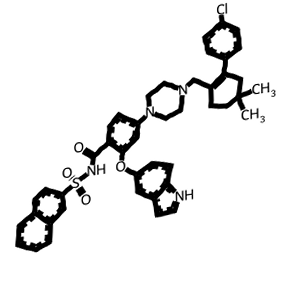 CC1(C)CCC(CN2CCN(c3ccc(C(=O)NS(=O)(=O)c4ccc5ccccc5c4)c(Oc4ccc5[nH]ccc5c4)c3)CC2)=C(c2ccc(Cl)cc2)C1